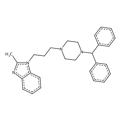 Cc1nc2ccccc2n1CCCN1CCN(C(c2ccccc2)c2ccccc2)CC1